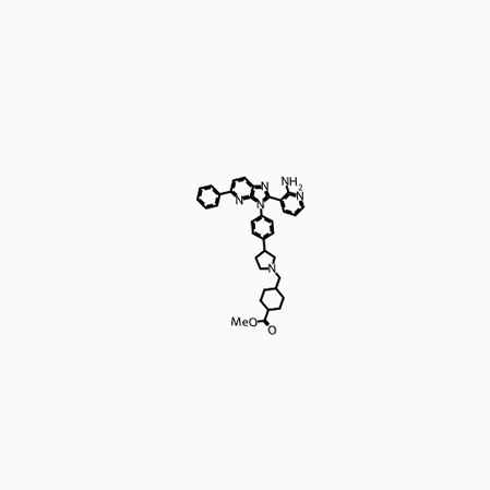 COC(=O)C1CCC(CN2CCC(c3ccc(-n4c(-c5cccnc5N)nc5ccc(-c6ccccc6)nc54)cc3)C2)CC1